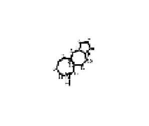 C1CCC2CC3CCCC3CCC2CNC1